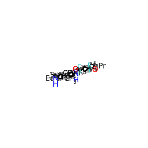 CCCC(C)(C)C(=O)C(F)(F)c1ccc(C(F)(F)C(=O)Nc2ccc(C(c3ccc(NC(C)(C)CC)cc3)(C(F)(F)F)C(F)(F)F)cc2)cc1